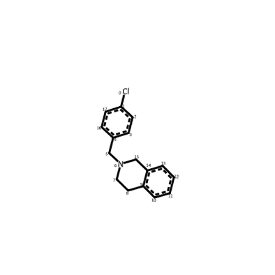 Clc1ccc(CN2CCc3ccccc3C2)cc1